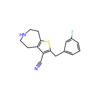 N#Cc1c(Cc2cccc(F)c2)sc2c1CCNCC2